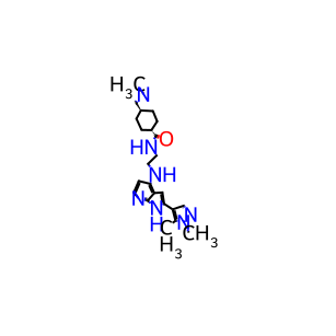 CN=C[C@H]1CC[C@H](C(=O)NCCNc2ccnc3[nH]c(-c4cnn(C)c4C)cc23)CC1